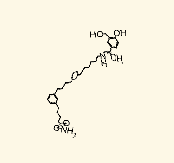 NS(=O)(=O)CCCCc1cccc(CCCCOCCCCCCNC[C@H](O)c2ccc(O)c(CO)c2)c1